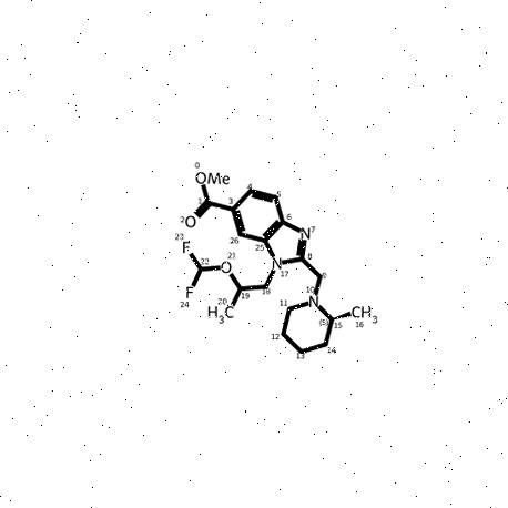 COC(=O)c1ccc2nc(CN3CCCC[C@@H]3C)n(CC(C)OC(F)F)c2c1